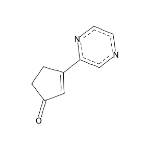 O=C1C=C(c2cnccn2)CC1